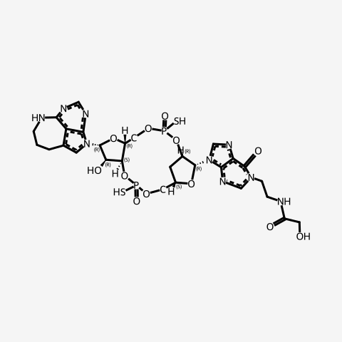 O=C(CO)NCCn1cnc2c(ncn2[C@@H]2O[C@@H]3COP(=O)(S)O[C@H]4[C@@H](O)[C@H](n5cc6c7c(ncnc75)NCCC6)O[C@@H]4COP(=O)(S)O[C@@H]2C3)c1=O